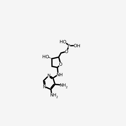 Nc1ncnc(NC2C[C@H](O)C(COP(O)O)O2)c1N